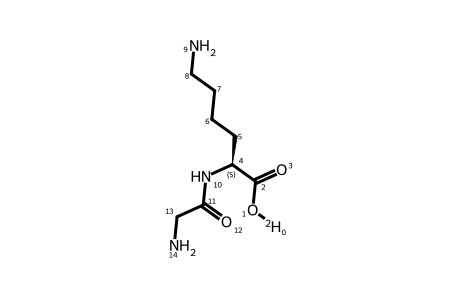 [2H]OC(=O)[C@H](CCCCN)NC(=O)CN